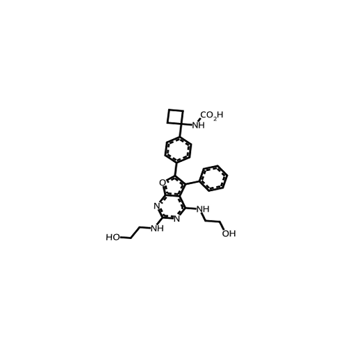 O=C(O)NC1(c2ccc(-c3oc4nc(NCCO)nc(NCCO)c4c3-c3ccccc3)cc2)CCC1